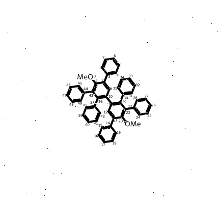 COc1c(-c2ccccc2)cc(-c2cc(-c3ccccc3)c(OC)c(-c3ccccc3)c2-c2ccccc2)c(-c2ccccc2)c1-c1ccccc1